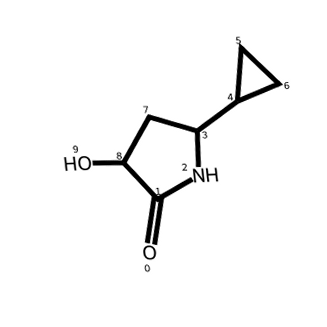 O=C1NC(C2CC2)CC1O